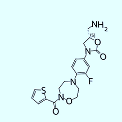 NC[C@H]1CN(c2ccc(N3CCON(C(=O)c4cccs4)CC3)c(F)c2)C(=O)O1